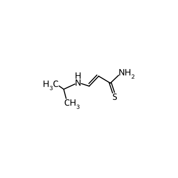 CC(C)NC=CC(N)=S